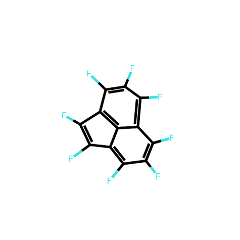 FC1=C(F)c2c(F)c(F)c(F)c3c(F)c(F)c(F)c1c23